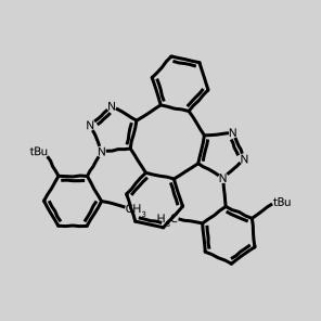 Cc1cccc(C(C)(C)C)c1-n1nnc2c1-c1ccccc1-c1c(nnn1-c1c(C)cccc1C(C)(C)C)-c1ccccc1-2